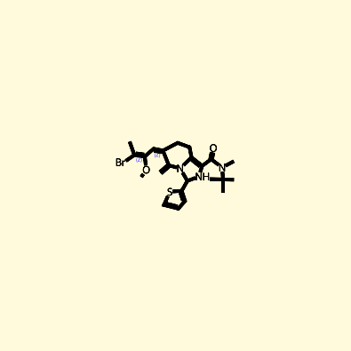 C=C1/C(=C\C(OC)=C(/C)Br)CCC2=C(C(=O)N(C)C(C)(C)C)NC(c3cccs3)N12